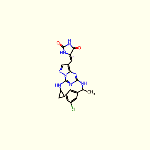 CC(Nc1nc(NC2CC2)n2ncc(/C=C3\NC(=O)NC3=O)c2n1)c1cccc(Cl)c1